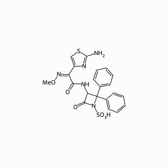 CO/N=C(\C(=O)NC1C(=O)N(S(=O)(=O)O)C1(c1ccccc1)c1ccccc1)c1csc(N)n1